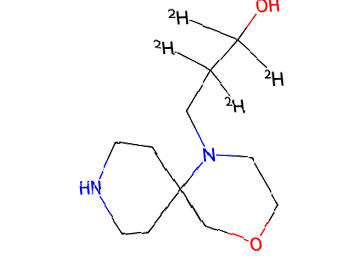 [2H]C([2H])(O)C([2H])([2H])CN1CCOCC12CCNCC2